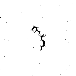 CC/C=C\CC(=O)OCC1CCCO1